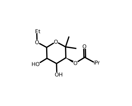 CCOC1OC(C)(C)[C@@H](OC(=O)C(C)C)C(O)C1O